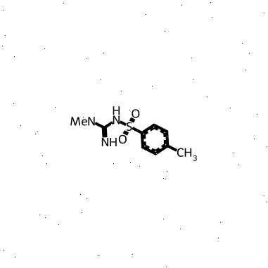 CNC(=N)NS(=O)(=O)c1ccc(C)cc1